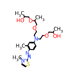 Cc1cc(N(CCOCC(C)O)CCOCC(C)OCC(C)O)ccc1/N=N/c1scc[n+]1C